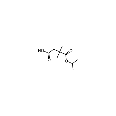 CC(C)OC(=O)C(C)(C)CC(=O)O